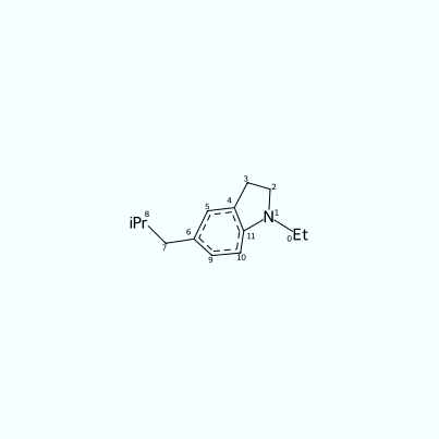 CCN1CCc2cc(CC(C)C)ccc21